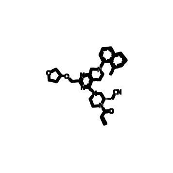 C=CC(=O)N1CCN(c2nc(CO[C@H]3CCOC3)nc3c2CCN(c2cccc4cccc(C)c24)C3)C[C@@H]1CC#N